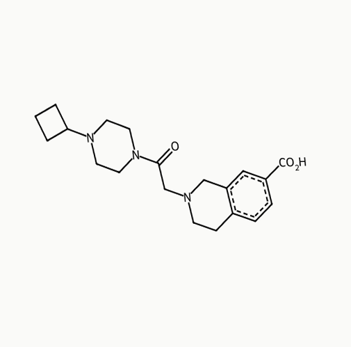 O=C(O)c1ccc2c(c1)CN(CC(=O)N1CCN(C3CCC3)CC1)CC2